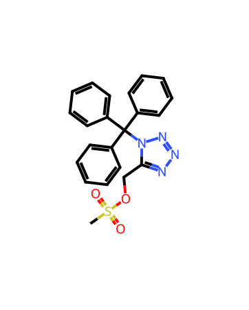 CS(=O)(=O)OCc1nnnn1C(c1ccccc1)(c1ccccc1)c1ccccc1